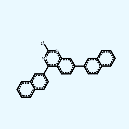 Clc1nc(-c2ccc3ccccc3c2)c2ccc(-c3ccc4ccccc4c3)cc2n1